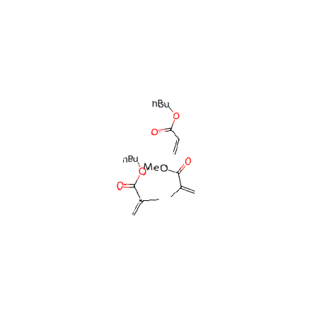 C=C(C)C(=O)OC.C=C(C)C(=O)OCCCC.C=CC(=O)OCCCC